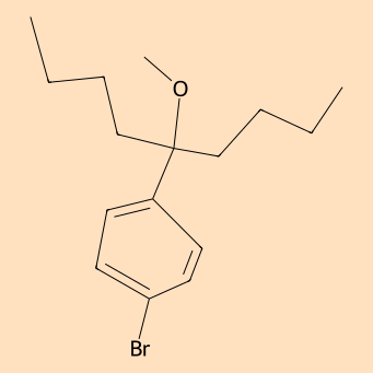 CCCCC(CCCC)(OC)c1ccc(Br)cc1